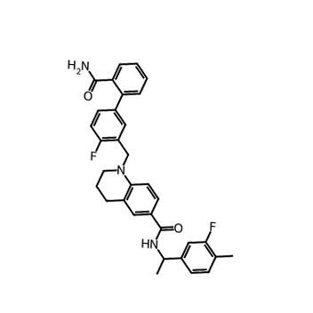 Cc1ccc(C(C)NC(=O)c2ccc3c(c2)CCCN3Cc2cc(-c3ccccc3C(N)=O)ccc2F)cc1F